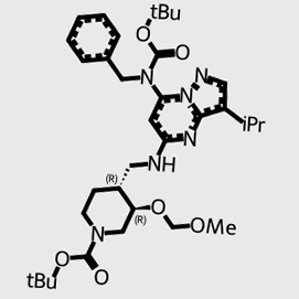 COCO[C@H]1CN(C(=O)OC(C)(C)C)CC[C@@H]1CNc1cc(N(Cc2ccccc2)C(=O)OC(C)(C)C)n2ncc(C(C)C)c2n1